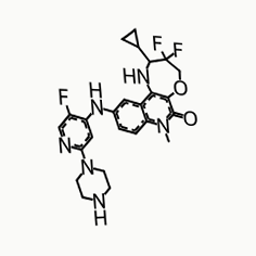 Cn1c(=O)c2c(c3cc(Nc4cc(N5CCNCC5)ncc4F)ccc31)NC(C1CC1)C(F)(F)CO2